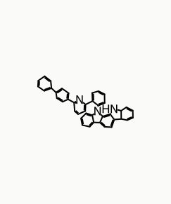 C1=CC2Nc3c(ccc4c5ccccc5n(-c5ccccc5-c5cccc(-c6ccc(-c7ccccc7)cc6)n5)c34)C2C=C1